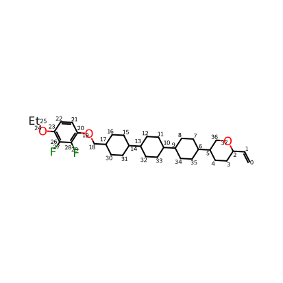 C=CC1CCC(C2CCC(C3CCC(C4CCC(COc5ccc(OCC)c(F)c5F)CC4)CC3)CC2)CO1